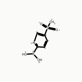 CS(=O)(=O)c1ccc(B(O)O)nc1